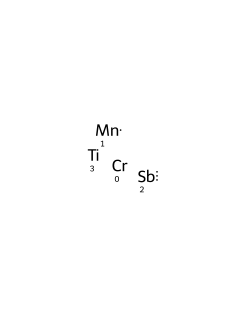 [Cr].[Mn].[Sb].[Ti]